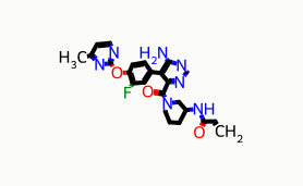 C=CC(=O)NC1CCCN(C(=O)c2ncnc(N)c2-c2ccc(Oc3nccc(C)n3)c(F)c2)C1